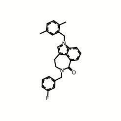 Cc1ccc(C)c(Cn2cc3c4c(cccc42)C(=O)N(Cc2cccc(F)c2)CC3)c1